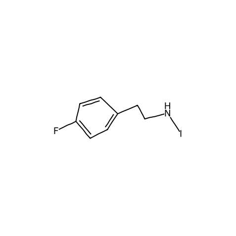 Fc1ccc(CCNI)cc1